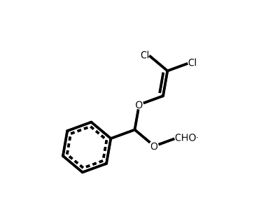 O=[C]OC(OC=C(Cl)Cl)c1ccccc1